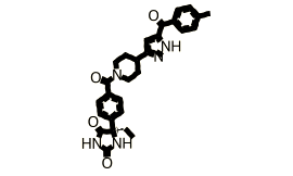 CC[C@]1(c2ccc(C(=O)N3CCC(c4cc(C(=O)c5ccc(C)cc5)[nH]n4)CC3)cc2)NC(=O)NC1=O